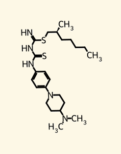 CCCCC[C@H](C)CSC(=N)NC(=S)Nc1ccc(N2CCC(N(C)C)CC2)cc1